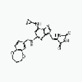 O=C1NC(=O)/C(=C/c2cnn3c(NC4CC4)cc(NCc4ccc5c(c4)OCCCO5)nc23)N1